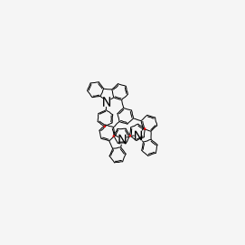 c1ccc(-n2c3ccccc3c3cccc(-c4cc(-c5cccc6c7ccccc7n(-c7ccccc7)c56)cc(-c5cccc6c7ccccc7n(-c7ccccc7)c56)c4)c32)cc1